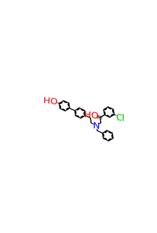 Oc1ccc(-c2ccc(CCN(Cc3ccccc3)C[C@H](O)c3cccc(Cl)c3)cc2)cc1